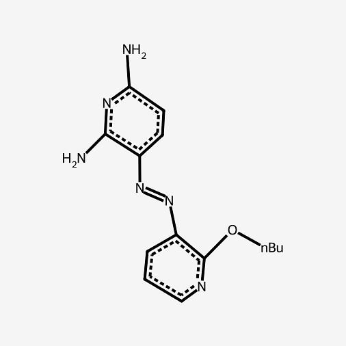 CCCCOc1ncccc1N=Nc1ccc(N)nc1N